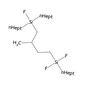 CCCCCCC[Si](F)(F)CCC(C)C[Si](F)(CCCCCCC)CCCCCCC